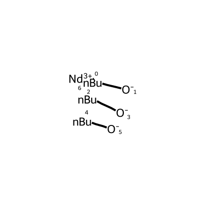 CCCC[O-].CCCC[O-].CCCC[O-].[Nd+3]